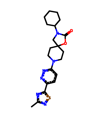 Cc1nsc(-c2ccc(N3CCC4(CC3)CN(C3CCCCC3)C(=O)O4)nn2)n1